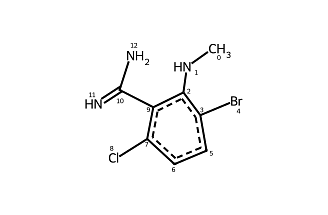 CNc1c(Br)ccc(Cl)c1C(=N)N